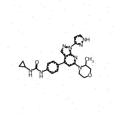 CC1COCCN1c1cc(-c2ccc(NC(=O)NC3CC3)cc2)c2cnn(-c3cc[nH]n3)c2n1